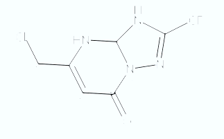 O=C1C=C(CCl)NC2NC(C(F)(F)F)=NN12